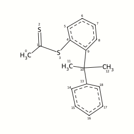 CC(=S)Sc1ccccc1C(C)(C)c1ccccc1